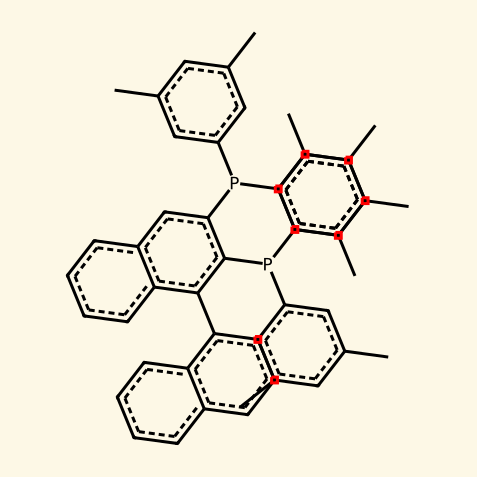 Cc1cc(C)cc(P(c2cc(C)cc(C)c2)c2cc3ccccc3c(-c3cccc4ccccc34)c2P(c2cc(C)cc(C)c2)c2cc(C)cc(C)c2)c1